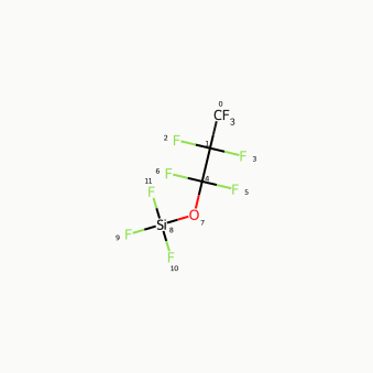 FC(F)(F)C(F)(F)C(F)(F)O[Si](F)(F)F